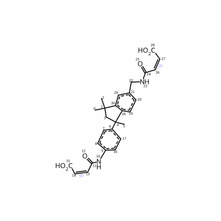 CC1(C)CC(C)(c2ccc(NC(=O)/C=C\C(=O)O)cc2)c2ccc(CNC(=O)/C=C\C(=O)O)cc21